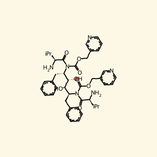 CC(C)[C@H](N)C(=O)N(C(=O)OCc1cccnc1)[C@@H](Cc1ccccc1)[C@H](O)[C@@H](O)[C@H](Cc1ccccc1)N(C(=O)OCc1cccnc1)C(=O)[C@@H](N)C(C)C